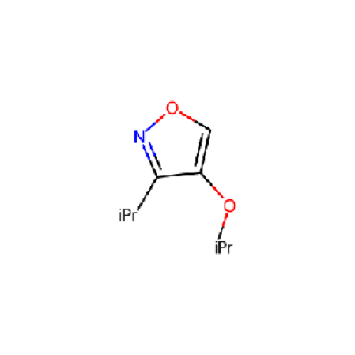 CC(C)Oc1conc1C(C)C